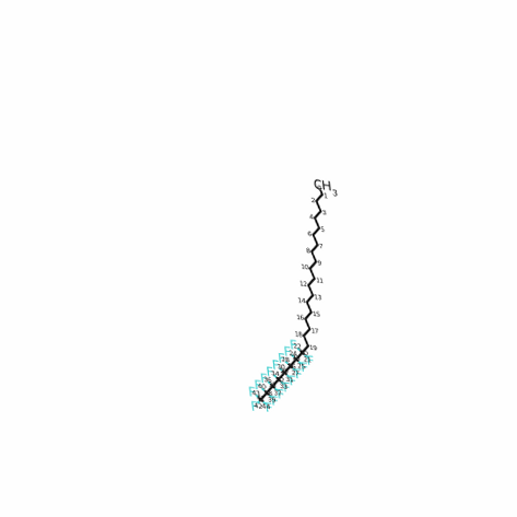 CCCCCCCCCCCCCCCCCCCCC(F)(F)C(F)(F)C(F)(F)C(F)(F)C(F)(F)C(F)(F)C(F)(F)C(F)(F)F